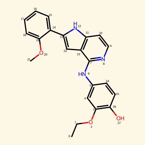 CCOc1cc(Nc2nccc3[nH]c(-c4ccccc4OC)cc23)ccc1O